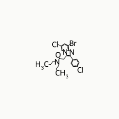 CCCN(CCC)C(=O)Cc1c(-c2ccc(Cl)cc2)nc2c(Br)cc(Cl)cn12